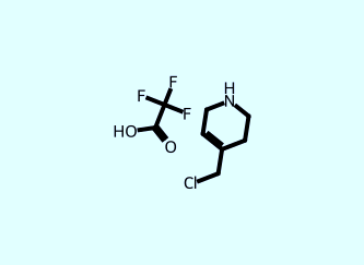 ClCC1=CCNCC1.O=C(O)C(F)(F)F